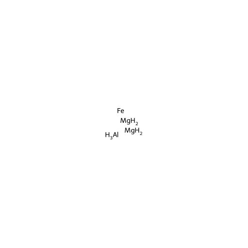 [AlH3].[Fe].[MgH2].[MgH2]